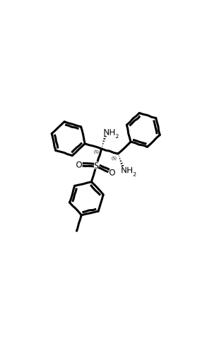 Cc1ccc(S(=O)(=O)[C@@](N)(c2ccccc2)[C@@H](N)c2ccccc2)cc1